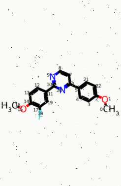 COc1ccc(-c2ccnc(-c3ccc(OC)c(F)c3)n2)cc1